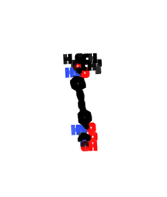 CC(C)(C)OC(=O)Nc1ccc(C#CC#Cc2ccc(C(=O)N[C@H]3CN(O)C3=O)cc2)cc1